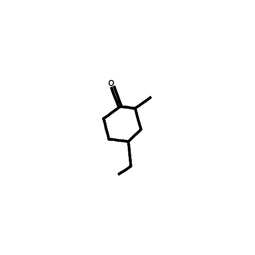 CCC1CCC(=O)C(C)C1